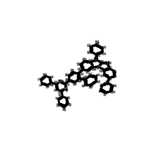 c1ccc(-c2ccc3nc4n(-c5ccccc5)c5ccc(-c6ccc(-c7nc(-c8ccccc8)cc(-c8ccccc8)n7)cc6-c6ccccc6)cc5n4c3c2)cc1